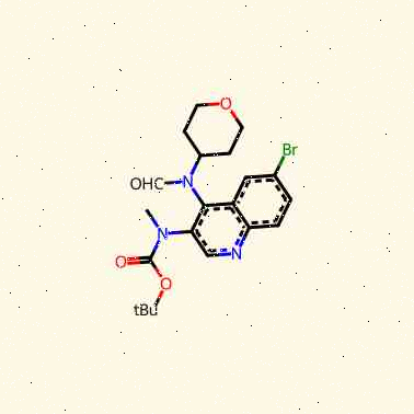 CN(C(=O)OC(C)(C)C)c1cnc2ccc(Br)cc2c1N(C=O)C1CCOCC1